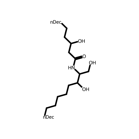 CCCCCCCCCCCCCCCC(O)C(CO)NC(=O)CC(O)CCCCCCCCCCCC